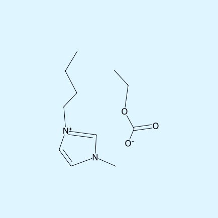 CCCC[n+]1ccn(C)c1.CCOC(=O)[O-]